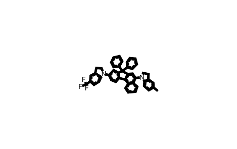 Cc1ccc2c(c1)CCN2c1cc2c(c3ccccc13)-c1ccc(N3CCc4cc(C(F)(F)F)ccc43)cc1C2(c1ccccc1)c1ccccc1